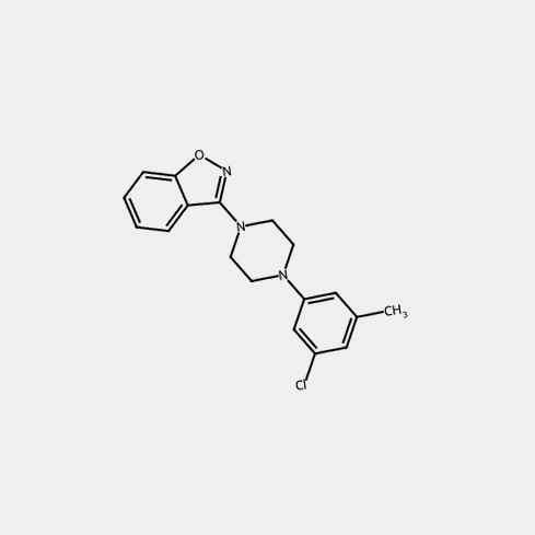 Cc1cc(Cl)cc(N2CCN(c3noc4ccccc34)CC2)c1